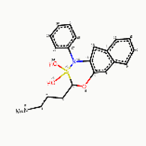 CNCCCC1Oc2cc3ccccc3cc2N(c2ccccc2)S1(O)O